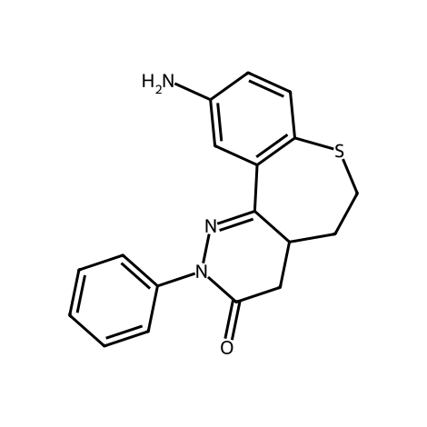 Nc1ccc2c(c1)C1=NN(c3ccccc3)C(=O)CC1CCS2